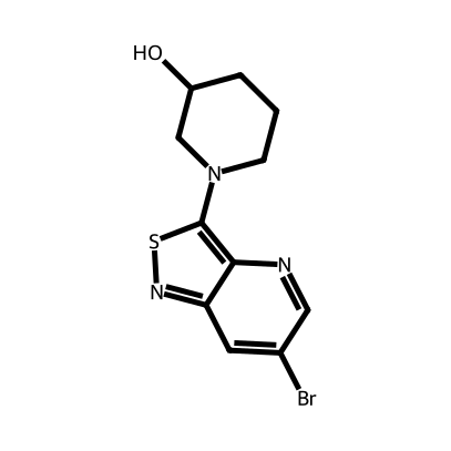 OC1CCCN(c2snc3cc(Br)cnc23)C1